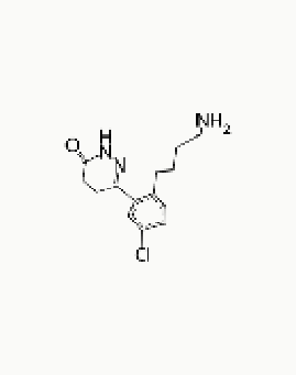 NCCCCc1ccc(Cl)cc1C1=NNC(=O)CC1